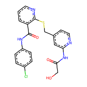 O=C(CO)Nc1cc(CSc2ncccc2C(=O)Nc2ccc(Cl)cc2)ccn1